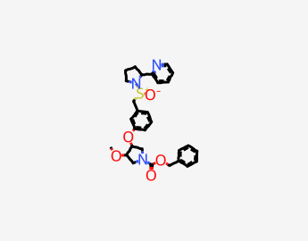 COC1CN(C(=O)OCc2ccccc2)CC1Oc1cccc(C[S+]([O-])N2CCCC2c2ccccn2)c1